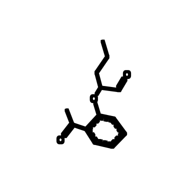 CCCC(C=O)Oc1ccccc1C(C)=O